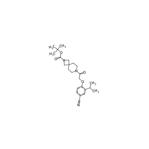 CC(C)c1cc(C#N)ccc1OCC(=O)N1CCC2(CC1)CN(C(=O)OC(C)(C)C)C2